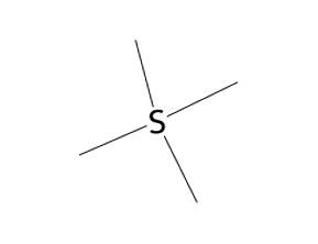 CS(C)(C)C